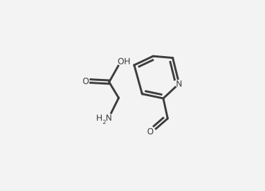 NCC(=O)O.O=Cc1ccccn1